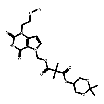 CC(C)OCCn1c(=S)[nH]c(=O)c2c1ccn2COC(=O)C(C)(C)C(=O)OC1COC(C)(C)OC1